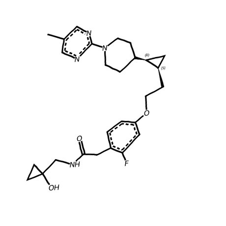 Cc1cnc(N2CCC([C@H]3C[C@H]3CCOc3ccc(CC(=O)NCC4(O)CC4)c(F)c3)CC2)nc1